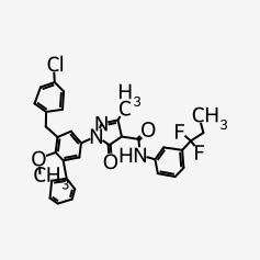 CCC(F)(F)c1cccc(NC(=O)C2C(=O)N(c3cc(Cc4ccc(Cl)cc4)c(OC)c(-c4ccccc4)c3)N=C2C)c1